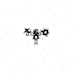 CC(C)(C)C(=O)COC(=O)C1(C(=O)OCc2ccccc2)CCNCC1